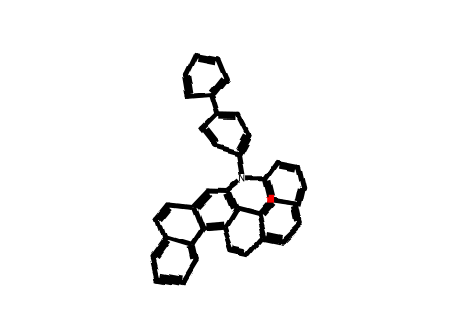 c1ccc(-c2ccc(N(c3ccccc3)c3cc4ccc5ccccc5c4c4ccc5ccccc5c34)cc2)cc1